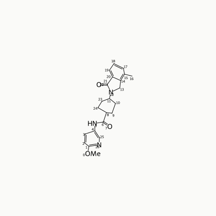 COc1ccc(NC(=O)C2CCC(N3Cc4c(C)cccc4C3=O)CC2)cn1